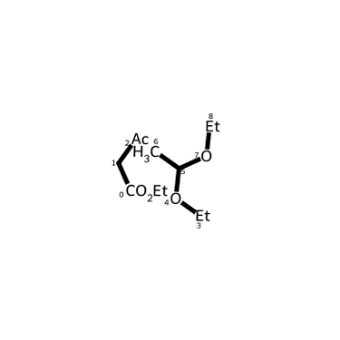 CCOC(=O)CC(C)=O.CCOC(C)OCC